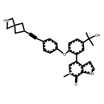 Cn1cc(-c2cc(C(C)(C)O)ccc2Oc2ccc(C#CC3CC4(CNC4)C3)cc2)c2cc[nH]c2c1=O